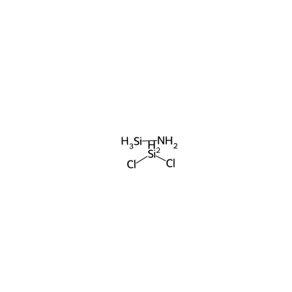 Cl[SiH2]Cl.N[SiH3]